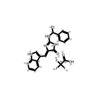 CCC(NC1=N/C(=C\c2c[nH]c3ncccc23)C(=O)N1)c1ccccc1.O=C(O)C(F)(F)F